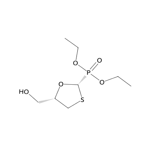 CCOP(=O)(OCC)[C@H]1O[C@@H](CO)CS1